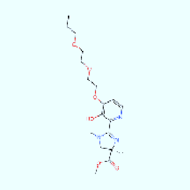 CCCOCCOCCOc1ccnc(C2=N[C@@](C)(C(=O)OC)CN2C)c1O